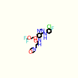 O=C(/C=C/CN1CCOCC1)Nc1cc2c(Nc3ccc(F)c(Cl)c3)ncnc2cc1OCCOC(F)F